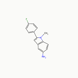 Cn1c(-c2ccc(F)cc2)cc2cc(N)ccc21